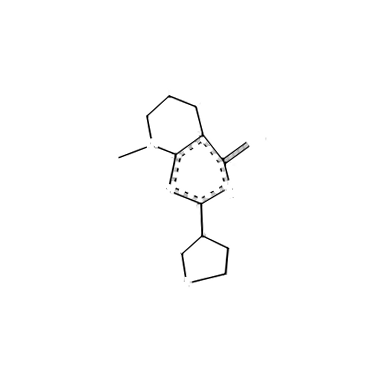 CN1CCCc2c1nc(C1CCNC1)[nH]c2=O